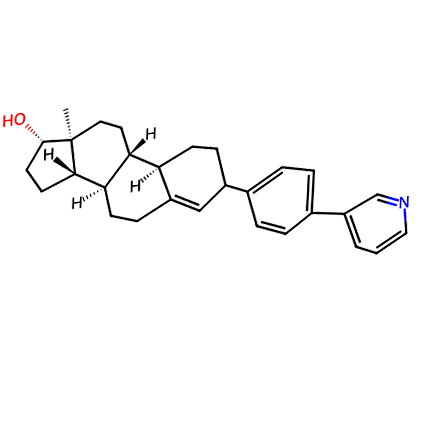 C[C@]12CC[C@H]3[C@@H](CCC4=CC(c5ccc(-c6cccnc6)cc5)CC[C@@H]43)[C@@H]1CC[C@@H]2O